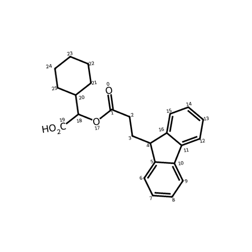 O=C(CCC1c2ccccc2-c2ccccc21)OC(C(=O)O)C1CCCCC1